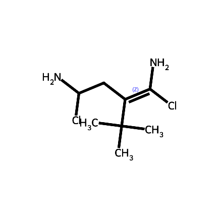 CC(C)(C)/C(CC(N)Cl)=C(/N)Cl